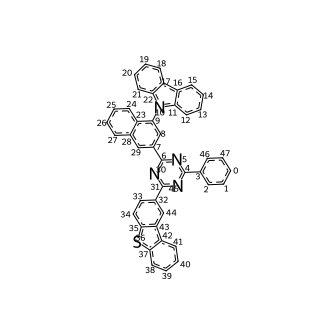 c1ccc(-c2nc(-c3cc(-n4c5ccccc5c5ccccc54)c4ccccc4c3)nc(-c3ccc4sc5ccccc5c4c3)n2)cc1